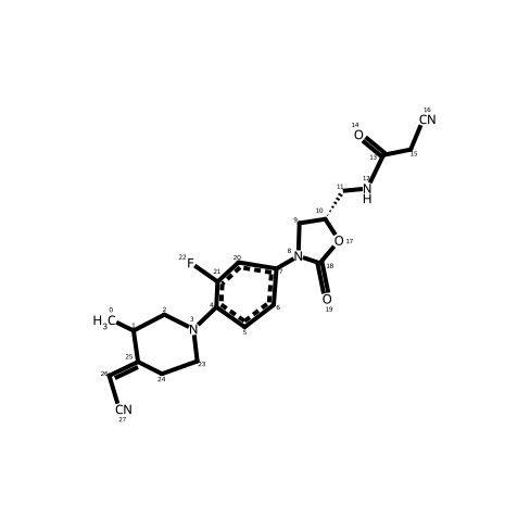 CC1CN(c2ccc(N3C[C@H](CNC(=O)CC#N)OC3=O)cc2F)CC/C1=C\C#N